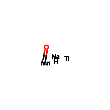 [NaH].[O]=[Mn].[Ti]